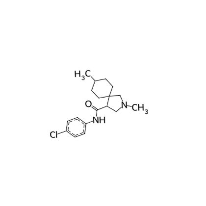 CC1CCC2(CC1)CN(C)CC2C(=O)Nc1ccc(Cl)cc1